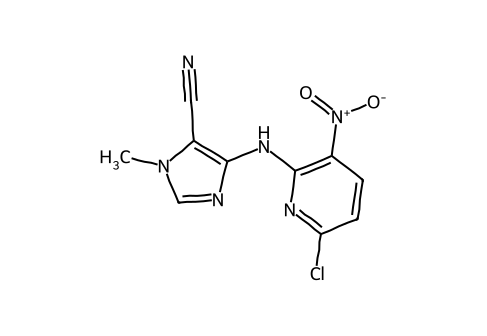 Cn1cnc(Nc2nc(Cl)ccc2[N+](=O)[O-])c1C#N